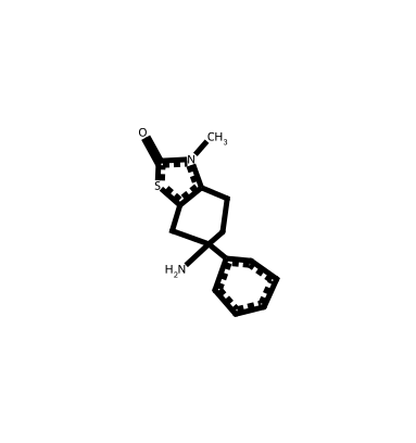 Cn1c2c(sc1=O)CC(N)(c1ccccc1)CC2